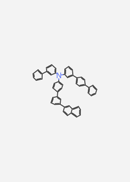 c1ccc(-c2ccc(-c3cccc(N(c4ccc(-c5cccc(-c6ccc7ccccc7c6)c5)cc4)c4cccc(-c5ccccc5)c4)c3)cc2)cc1